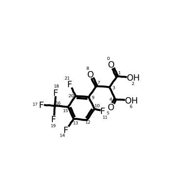 O=C(O)C(C(=O)O)C(=O)c1c(F)cc(F)c(C(F)(F)F)c1F